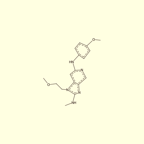 CNc1nc2cnc(Nc3ccc(OC)cc3)cc2n1CCOC